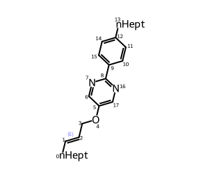 CCCCCCC/C=C/COc1cnc(-c2ccc(CCCCCCC)cc2)nc1